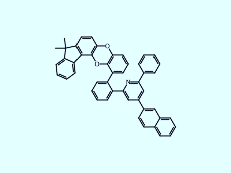 CC1(C)c2ccccc2-c2c1ccc1c2Oc2c(cccc2-c2ccccc2-c2cc(-c3ccc4ccccc4c3)cc(-c3ccccc3)n2)O1